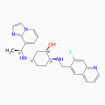 C[C@H](N[C@H]1CC[C@H](NCc2cc3cccnc3cc2F)[C@H](O)C1)c1cccn2ccnc12